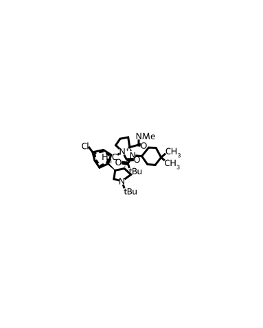 CNC(=O)[C@]1(N(C(=O)C(C)(C)C)C2CCC(C)(C)CC2)CCC[N+]1(C)C(=O)[C@@H]1CN(C(C)(C)C)C[C@H]1c1ccc(Cl)cc1